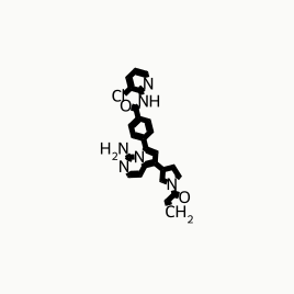 C=CC(=O)N1CCC(c2cc(-c3ccc(C(=O)Nc4ncccc4Cl)cc3)n3c(N)nccc23)C1